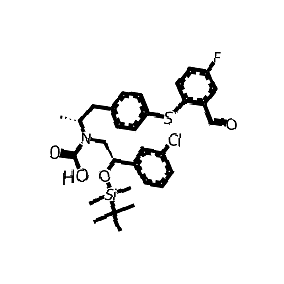 C[C@H](Cc1ccc(Sc2ccc(F)cc2C=O)cc1)N(C[C@H](O[Si](C)(C)C(C)(C)C)c1cccc(Cl)c1)C(=O)O